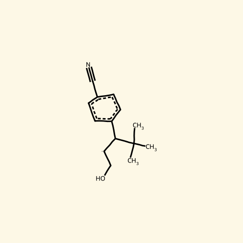 CC(C)(C)C([CH]CO)c1ccc(C#N)cc1